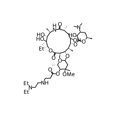 CC[C@H]1OC(=O)[C@H](C)[C@@H](O[C@H]2C[C@@](C)(OC)[C@@H](OC(=O)CCNCCN(CC)CC)[C@H](C)O2)[C@H](C)[C@@H](O[C@@H]2O[C@H](C)C[C@H](N(C)C)[C@H]2O)[C@](C)(O)C[C@@H](C)C(=O)N[C@H](C)[C@@H](O)[C@]1(C)O